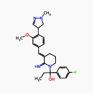 CCC(O)(c1ccc(F)cc1)N1CCC/C(=C\c2ccc(C3C=NN(C)C3)c(OC)c2)C1=N